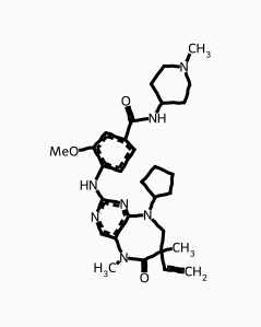 C=CC1(C)CN(C2CCCC2)c2nc(Nc3ccc(C(=O)NC4CCN(C)CC4)cc3OC)ncc2N(C)C1=O